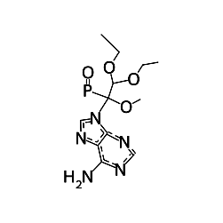 CCOC(OCC)C(OC)(P=O)n1cnc2c(N)ncnc21